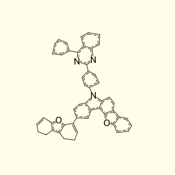 C1=Cc2oc3c(c2CC1)CCC=C3c1ccc2c(c1)c1c3oc4ccccc4c3ccc1n2-c1ccc(-c2nc(-c3ccccc3)c3ccccc3n2)cc1